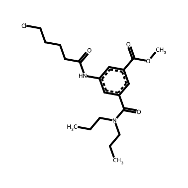 CCCN(CCC)C(=O)c1cc(NC(=O)CCCCCl)cc(C(=O)OC)c1